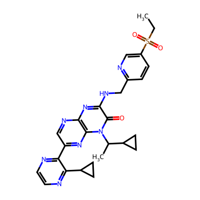 CCS(=O)(=O)c1ccc(CNc2nc3ncc(-c4nccnc4C4CC4)nc3n(C(C)C3CC3)c2=O)nc1